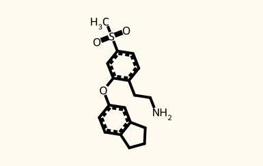 CS(=O)(=O)c1ccc(CCN)c(Oc2ccc3c(c2)CCC3)c1